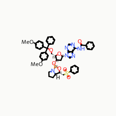 COc1ccc(C(OC[C@@H]2O[C@H](n3cnc4c(NC(=O)c5ccccc5)ncnc43)C[C@H]2O[P@]2O[C@H](CS(=O)(=O)c3ccccc3)[C@@H]3CCCN32)(c2ccccc2)c2ccc(OC)cc2)cc1